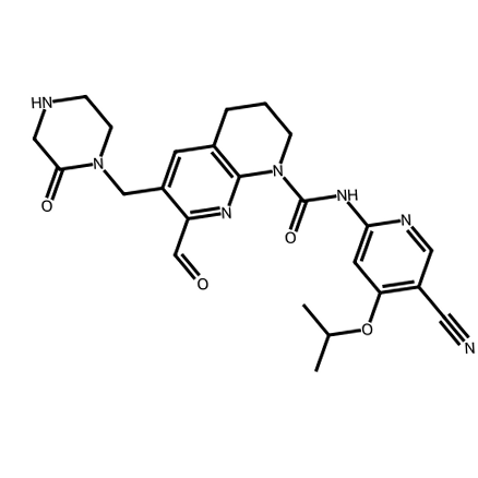 CC(C)Oc1cc(NC(=O)N2CCCc3cc(CN4CCNCC4=O)c(C=O)nc32)ncc1C#N